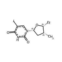 CC[C@H]1O[C@@H](n2cc(I)c(=O)[nH]c2=O)C[C@H]1C